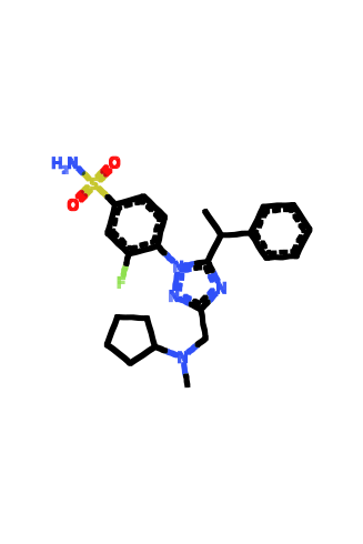 CC(c1ccccc1)c1nc(CN(C)C2CCCC2)nn1-c1ccc(S(N)(=O)=O)cc1F